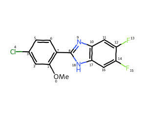 COc1cc(Cl)ccc1-c1nc2cc(F)c(F)cc2[nH]1